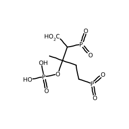 CC(CCP(=O)=O)(OP(=O)(O)O)C(C(=O)O)P(=O)=O